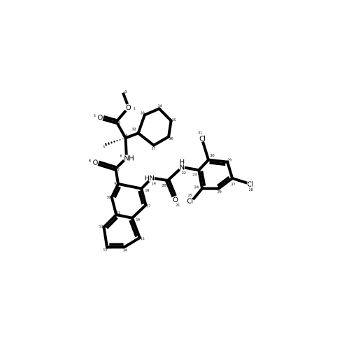 COC(=O)[C@](C)(NC(=O)c1cc2ccccc2cc1NC(=O)Nc1c(Cl)cc(Cl)cc1Cl)C1CCCCC1